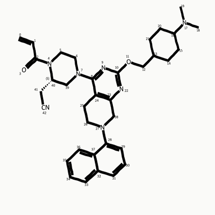 C=CC(=O)N1CCN(c2nc(OCC3CCC(N(C)C)CC3)nc3c2CCN(c2cccc4ccccc24)C3)C[C@@H]1CC#N